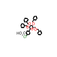 O=C(O)c1cc(C2O[C@H](COCc3ccccc3)[C@@H](OCc3ccccc3)[C@H](OCc3ccccc3)[C@H]2OCc2ccccc2)ccc1Cl